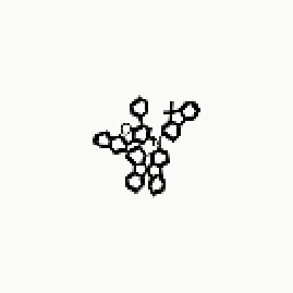 CC1(C)c2ccccc2-c2ccc(N(c3ccc4c(c3)C3(c5ccccc5-c5ccccc53)c3ccccc3-4)c3cc(-c4ccccc4)c4oc5c6ccccc6ccc5c4c3)cc21